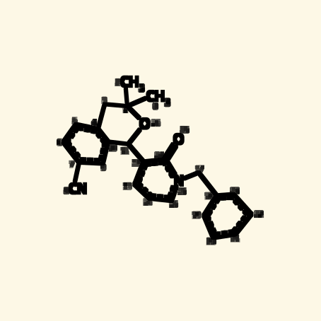 CC1(C)Cc2ccc(C#N)cc2C(c2cccn(Cc3ccccc3)c2=O)O1